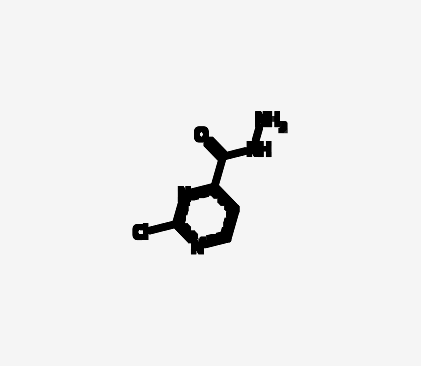 NNC(=O)c1ccnc(Cl)n1